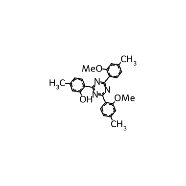 COc1cc(C)ccc1-c1nc(-c2ccc(C)cc2O)nc(-c2ccc(C)cc2OC)n1